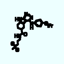 CC(C)Oc1ccc(Nc2ncnc3[nH]c4c(c23)CC(C(=O)NCCCS(C)(=O)=O)CC4)cc1